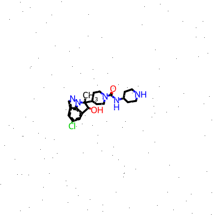 CC1(C2CCN(C(=O)NC3CCNCC3)CC2)C(O)c2cc(Cl)cc3cnn1c23